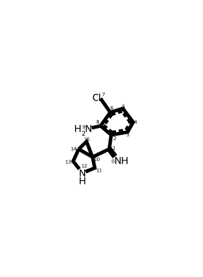 N=C(c1cccc(Cl)c1N)C12CNCC1C2